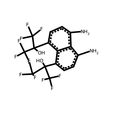 Nc1ccc(C(O)(C(F)(F)F)C(F)(F)F)c2c(C(O)(C(F)(F)F)C(F)(F)F)ccc(N)c12